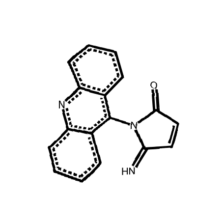 N=C1C=CC(=O)N1c1c2ccccc2nc2ccccc12